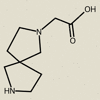 O=C(O)CN1CCC2(CCNC2)C1